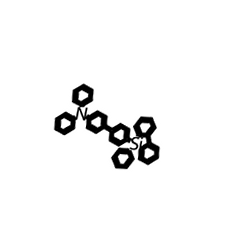 c1ccc(N(c2ccccc2)c2ccc(-c3ccc([Si]4(c5ccccc5)c5ccccc5-c5ccccc54)cc3)cc2)cc1